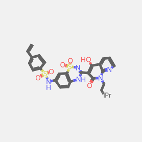 C=Cc1ccc(S(=O)(=O)Nc2ccc3c(c2)S(=O)(=O)N=C(c2c(O)c4cccnc4n(CCC(C)C)c2=O)N3)cc1